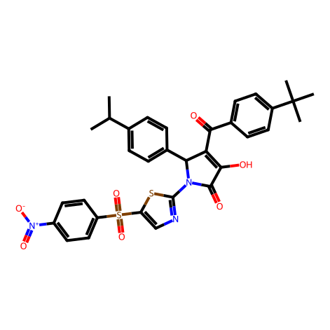 CC(C)c1ccc(C2C(C(=O)c3ccc(C(C)(C)C)cc3)=C(O)C(=O)N2c2ncc(S(=O)(=O)c3ccc([N+](=O)[O-])cc3)s2)cc1